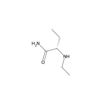 CCN[C@@H](CC)C(N)=O